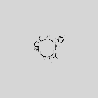 CCC1c2nnc(o2)[C@H](Cc2ccccc2)NC(=O)CNC[C@](C=O)(CC(C)C)NC(=O)[C@H](C)NC(=O)[C@@H]2CCCN12